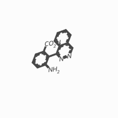 Nc1cccc(C(=O)O)c1-c1nncc2ccccc12